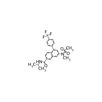 CC(C)NC(=O)c1ccc2c(-c3ccc(C(F)(F)F)cc3)cc(N(C)S(C)(=O)=O)cc2c1